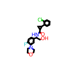 O=C(NC(CO)c1ccc(F)c(N2CCOCC2)c1)C1CC1c1ccccc1Cl